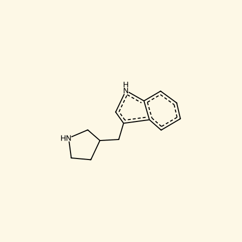 c1ccc2c(CC3CCNC3)c[nH]c2c1